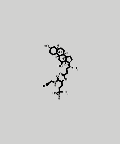 C#CCNC(=O)C(CCC1(C)NN1)NC(=O)CC[C@@H](C)[C@H]1CC[C@H]2[C@@H]3CC[C@@H]4C[C@H](O)CC[C@]4(C)[C@H]3CC(O)[C@]12C